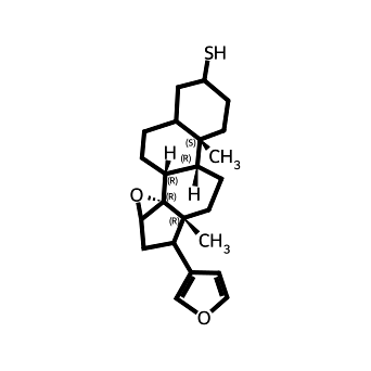 C[C@]12CCC(S)CC1CC[C@@H]1[C@H]2CC[C@]2(C)C(c3ccoc3)CC3O[C@]312